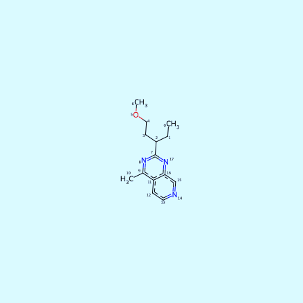 CCC(CCOC)c1nc(C)c2ccncc2n1